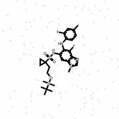 Cn1cnc2c(F)c(Nc3ccc(I)cc3F)c(NS(=O)(=O)C3(CCO[Si](C)(C)C(C)(C)C)CC3)cc21